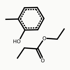 CCOC(=O)CC.Cc1ccccc1O